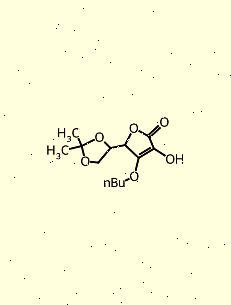 CCCCOC1=C(O)C(=O)OC1C1COC(C)(C)O1